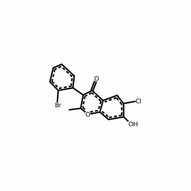 Cc1oc2cc(O)c(Cl)cc2c(=O)c1-c1ccccc1Br